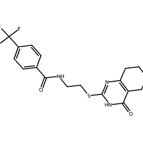 O=C(NCCSc1nc2c(c(=O)[nH]1)CCCC2)c1ccc(C(F)(F)F)cc1